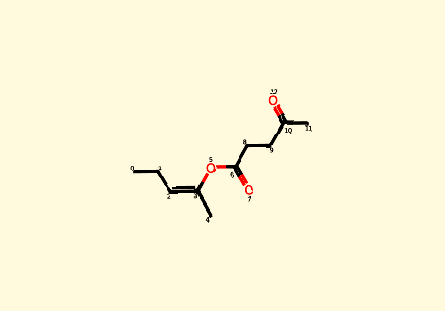 CCC=C(C)OC(=O)CCC(C)=O